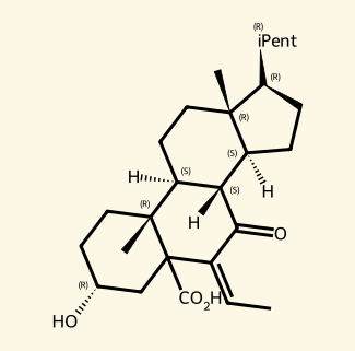 CC=C1C(=O)[C@H]2[C@@H]3CC[C@H]([C@H](C)CCC)[C@@]3(C)CC[C@@H]2[C@@]2(C)CC[C@@H](O)CC12C(=O)O